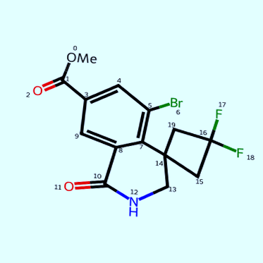 COC(=O)c1cc(Br)c2c(c1)C(=O)NCC21CC(F)(F)C1